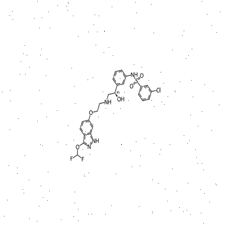 O=S(=O)(Nc1cccc([C@@H](O)CNCCOc2ccc3c(OC(F)F)n[nH]c3c2)c1)c1cccc(Cl)c1